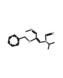 C/N=C\C(=C/N(C=O)C(C)C)SCc1ccccc1